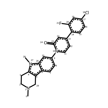 CN1CCc2c(c3ccc(-n4ccc(-c5ccc(Cl)cc5F)cc4=O)cc3n2C)C1